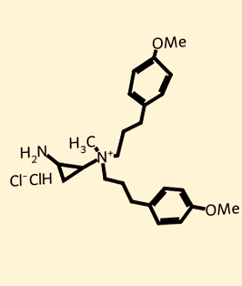 COc1ccc(CCC[N+](C)(CCCc2ccc(OC)cc2)C2CC2N)cc1.Cl.[Cl-]